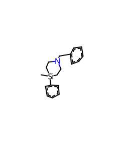 C[Si]1(c2ccccc2)CCN(Cc2ccccc2)CC1